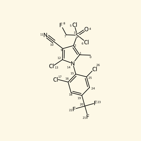 Cc1c(S(=O)(Cl)(Cl)CF)c(C#N)c(Cl)n1-c1c(Cl)cc(C(F)(F)F)cc1Cl